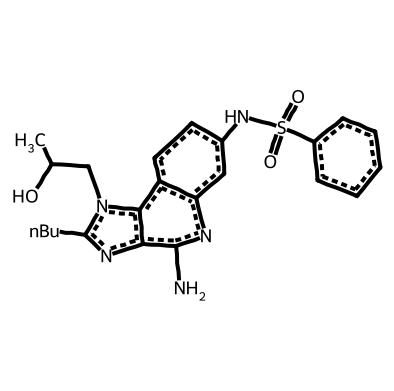 CCCCc1nc2c(N)nc3cc(NS(=O)(=O)c4ccccc4)ccc3c2n1CC(C)O